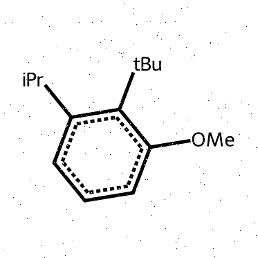 COc1cccc(C(C)C)c1C(C)(C)C